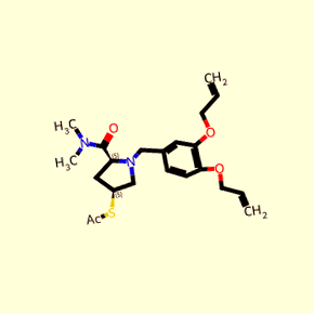 C=CCOc1ccc(CN2C[C@@H](SC(C)=O)C[C@H]2C(=O)N(C)C)cc1OCC=C